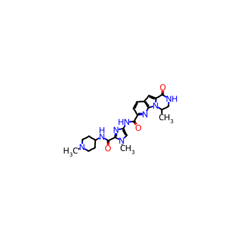 CC1CNC(=O)c2cc3ccc(C(=O)Nc4cn(C)c(C(=O)NC5CCN(C)CC5)n4)nc3n21